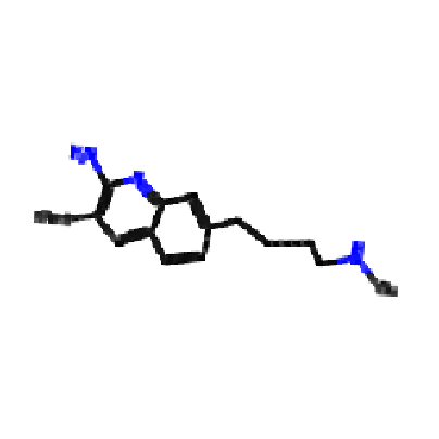 CCCCCc1cc2ccc(CCCCNC(C)(C)C)cc2nc1N